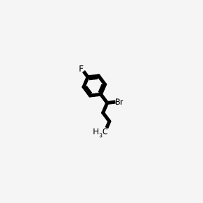 CCCC(Br)c1ccc(F)cc1